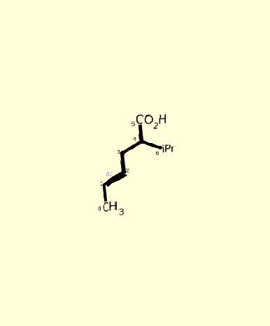 C/C=C/CC(C(=O)O)C(C)C